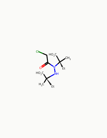 CC[C@](C)(NN(C(=O)CCl)[C@](C)(CC)C(=O)O)C(=O)O